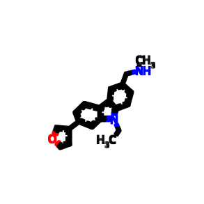 CCn1c2ccc(CNC)cc2c2ccc(-c3ccoc3)cc21